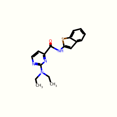 CCN(CC)c1nccc(C(=O)Nc2cc3ccccc3s2)n1